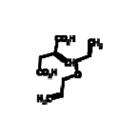 C=C(CC(=O)O)C(=O)O.C=CCOCC=C